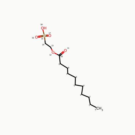 CCCCCCCCCCC(=O)OCCS(=O)(=O)O